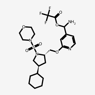 NC(OC(=O)C(F)(F)F)c1ccnc(OC[C@@H]2C[C@@H](C3CCCCC3)CN2S(=O)(=O)N2CCOCC2)c1